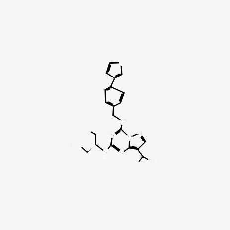 CC[C@@H](CO)Nc1nc(NCc2ccc(-c3ccsc3)cc2)n2ncc(C(C)C)c2n1